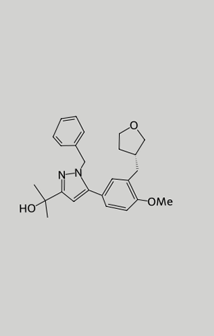 COc1ccc(-c2cc(C(C)(C)O)nn2Cc2ccccc2)cc1C[C@@H]1CCOC1